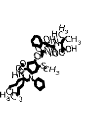 CCCCC1(CCCC)CN(c2ccccc2)c2cc(SC)c(OCC(=O)N[C@](O)(C(=O)N[C@H](C(=O)O)C(C)C)c3ccccc3)cc2S(=O)(=O)N1